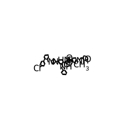 Cc1cc(S(=O)(=O)NC(=O)c2ccc(N3CCN(Cc4ccccc4-c4ccc(Cl)cc4)CC3)cc2NCc2ccccc2)ccc1NCC1CCOCC1